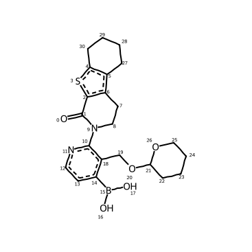 O=C1c2sc3c(c2CCN1c1nccc(B(O)O)c1COC1CCCCO1)CCCC3